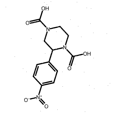 O=C(O)N1CCN(C(=O)O)C(c2ccc([N+](=O)[O-])cc2)C1